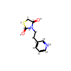 O=C1CSC(=O)N1CCc1cccnc1